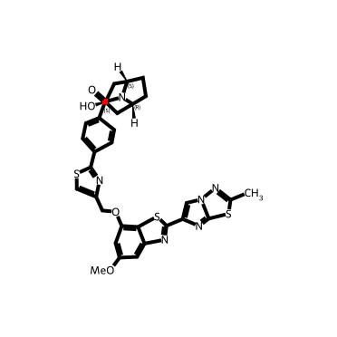 COc1cc(OCc2csc(-c3ccc(C(=O)N4[C@@H]5CC[C@H]4C[C@H](O)C5)cc3)n2)c2sc(-c3cn4nc(C)sc4n3)nc2c1